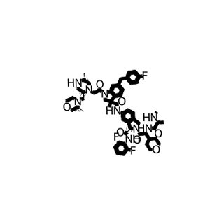 CNC(C)C(=O)NC(C(=O)N1Cc2ccc(NC(=O)C3(C)CN(C(=O)CN4C[C@@H](C)NC[C@@H]4CN4CCOC[C@H]4C)c4cc(Cc5ccc(F)cc5)ccc43)cc2[C@H]1C(=O)Nc1c(F)cccc1F)C1CCOCC1